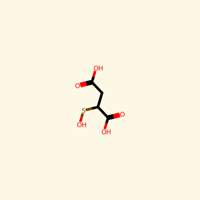 O=C(O)CC(SO)C(=O)O